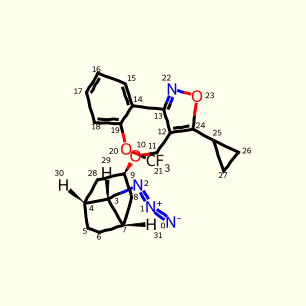 [N-]=[N+]=N[C@H]1[C@@H]2CC[C@H]1C[C@H](OCc1c(-c3ccccc3OC(F)(F)F)noc1C1CC1)C2